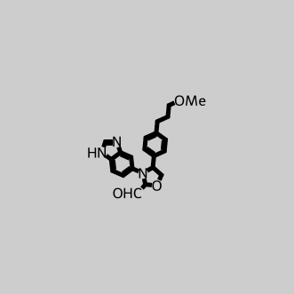 COCCCc1ccc(C2COC(C=O)N2c2ccc3[nH]cnc3c2)cc1